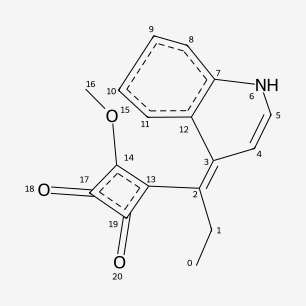 CCC(=C1C=CNc2ccccc21)c1c(OC)c(=O)c1=O